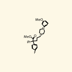 COC(=O)C(CCCN1CCN(c2cccc(OC)c2)CC1)(c1ccc(F)cc1)C(C)C